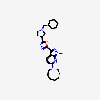 Cn1nc(-c2nnc(C3CCN(CC4CCCCC4)C3)o2)c2ccc(N3CCCCCCC3)nc21